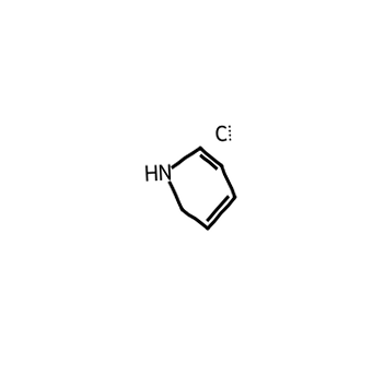 C1=CCNC=C1.[C]